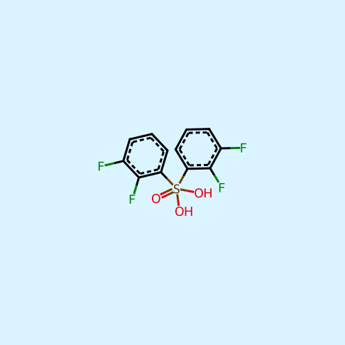 O=S(O)(O)(c1cccc(F)c1F)c1cccc(F)c1F